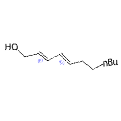 CCCCCC/C=C/C=C/CO